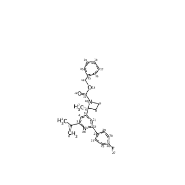 C=C(C)c1cc([C@]2(C)CCN2C(=O)OCc2ccccc2)cc(-c2ccc(F)cc2)n1